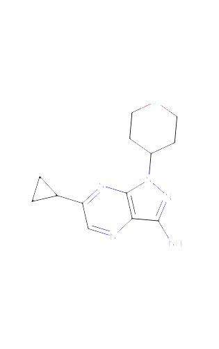 Nc1nn(C2CCOCC2)c2nc(C3CC3)cnc12